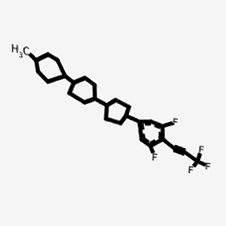 CC1CCC(C2CCC(C3CCC(c4cc(F)c(C#CC(F)(F)F)c(F)c4)CC3)CC2)CC1